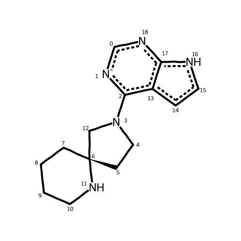 c1nc(N2CC[C@@]3(CCCCN3)C2)c2cc[nH]c2n1